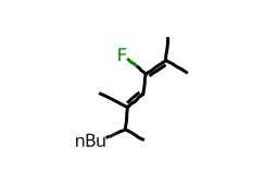 CCCCC(C)/C(C)=C/C(F)=C(C)C